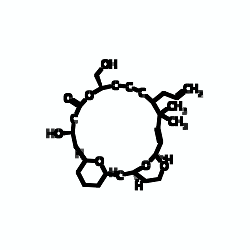 C=CCC1CCC[C@H](CO)OC(=O)C[C@H](O)C[C@@H]2CCC[C@H](C[C@@H]3CCO[C@H](/C=C/C1(C)C)O3)O2